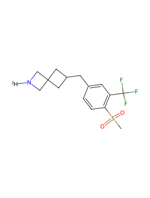 [2H]N1CC2(CC(Cc3ccc(S(C)(=O)=O)c(C(F)(F)F)c3)C2)C1